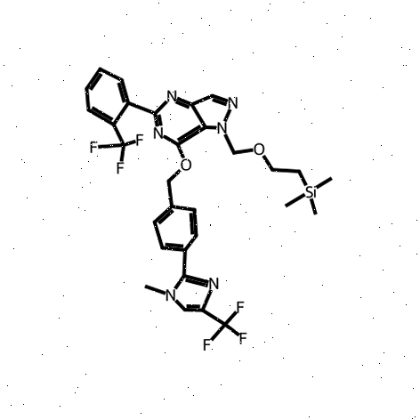 Cn1cc(C(F)(F)F)nc1-c1ccc(COc2nc(-c3ccccc3C(F)(F)F)nc3cnn(COCC[Si](C)(C)C)c23)cc1